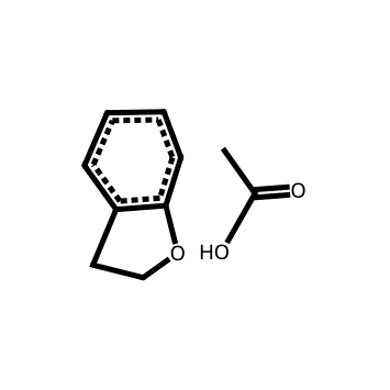 CC(=O)O.c1ccc2c(c1)CCO2